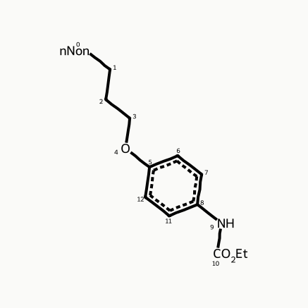 CCCCCCCCCCCCOc1ccc(NC(=O)OCC)cc1